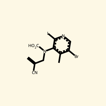 C=C(C#N)CN(C(=O)O)c1c(I)ncc(Br)c1C